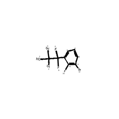 [2H]C([2H])(O)C(F)(F)c1cccc(Br)c1F